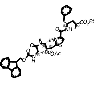 CCCC[C@H](NC(=O)OCC1c2ccccc2-c2ccccc21)C(=O)N(C)[C@@H](C[C@@H](OC(C)=O)c1nc(C(=O)N[C@H](Cc2ccccc2)C[C@H](C)C(=O)OCC)cs1)C(C)C